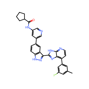 Cc1cc(F)cc(-c2ccnc3[nH]c(-c4n[nH]c5ccc(-c6cncc(NC(=O)C7CCCC7)c6)cc45)nc23)c1